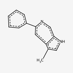 Cc1c[nH]c2cnc(-c3ccccc3)cc12